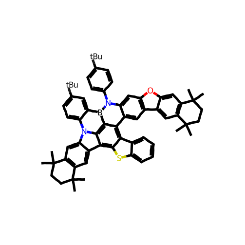 CC(C)(C)c1ccc(N2B3c4cc(C(C)(C)C)ccc4-n4c5cc6c(cc5c5c7sc8ccccc8c7c(c3c54)-c3cc4c(cc32)oc2cc3c(cc24)C(C)(C)CCC3(C)C)C(C)(C)CCC6(C)C)cc1